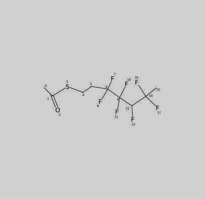 CC(=O)SCCC(F)(F)C(F)(F)C(F)C(C)(F)F